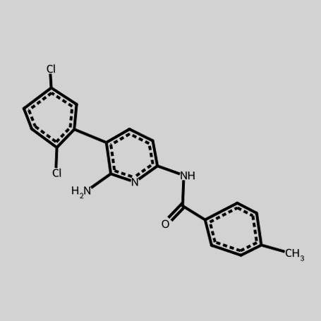 Cc1ccc(C(=O)Nc2ccc(-c3cc(Cl)ccc3Cl)c(N)n2)cc1